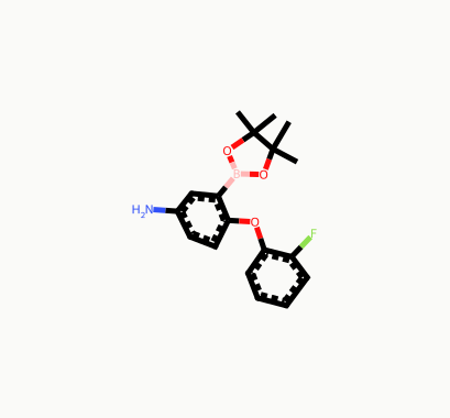 CC1(C)OB(c2cc(N)ccc2Oc2ccccc2F)OC1(C)C